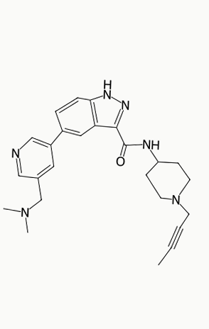 CC#CCN1CCC(NC(=O)c2n[nH]c3ccc(-c4cncc(CN(C)C)c4)cc23)CC1